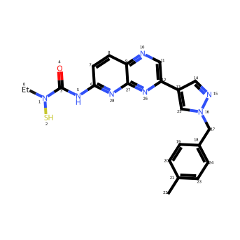 CCN(S)C(=O)Nc1ccc2ncc(-c3cnn(Cc4ccc(C)cc4)c3)nc2n1